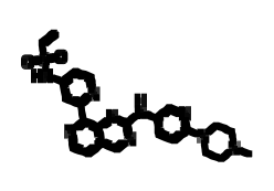 C=CS(=O)(=O)Nc1ccnc(-c2nccc3cnc(Nc4ccc(N5CCN(C)CC5)nc4)nc23)c1